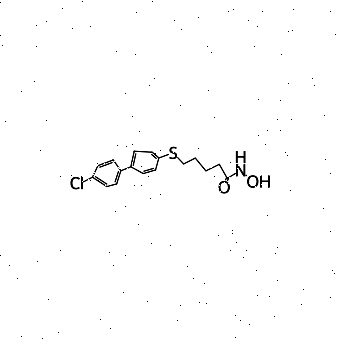 O=C(CCCCSc1ccc(-c2ccc(Cl)cc2)cc1)NO